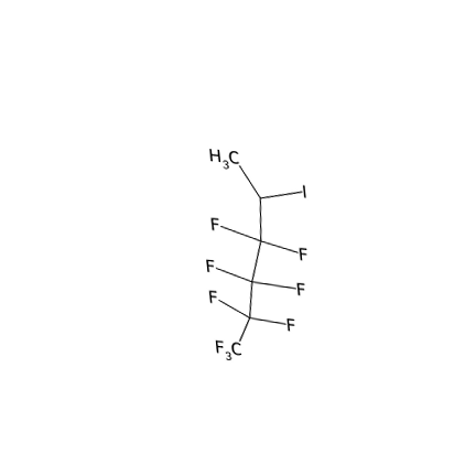 CC(I)C(F)(F)C(F)(F)C(F)(F)C(F)(F)F